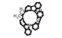 CC1(C)c2ccc3c(c2)C(C)(c2ccccc2-3)c2cccc3c2sc2c(cccc23)-n2c3ccccc3c3ccc1cc32